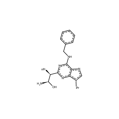 CCC[C@@H](c1nc(NCc2ccccc2)c2ncn(C(C)C)c2n1)[C@H](N)O